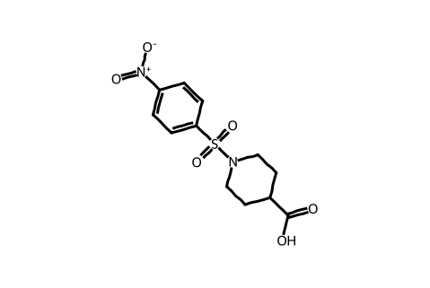 O=C(O)C1CCN(S(=O)(=O)c2ccc([N+](=O)[O-])cc2)CC1